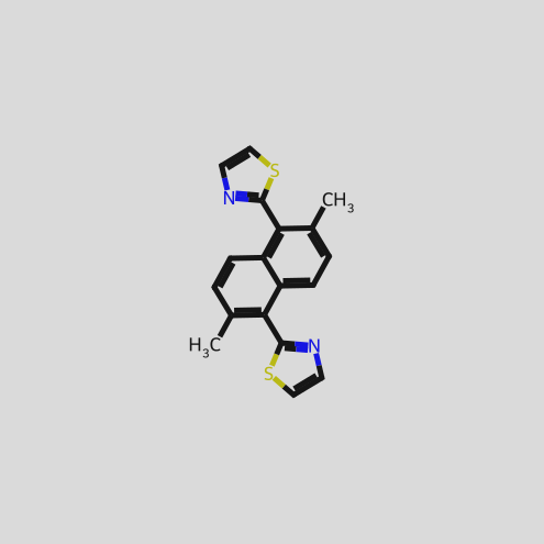 Cc1ccc2c(-c3nccs3)c(C)ccc2c1-c1nccs1